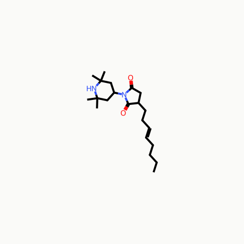 CCCCC=CCCC1CC(=O)N(C2CC(C)(C)NC(C)(C)C2)C1=O